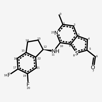 Cc1cc2cc(C=O)sc2c(N[C@@H]2CCc3cc(F)c(F)cc32)n1